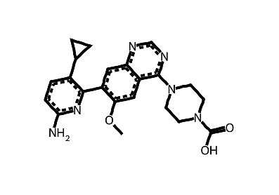 COc1cc2c(N3CCN(C(=O)O)CC3)ncnc2cc1-c1nc(N)ccc1C1CC1